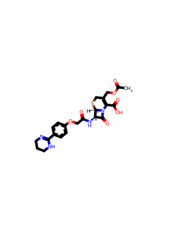 CC(=O)OCC1=C(C(=O)O)N2C(=O)[C@@H](NC(=O)COc3ccc(C4=NCCCN4)cc3)[C@H]2SC1